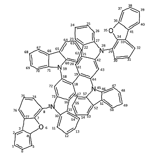 c1ccc2c(c1)oc1c(-n3c4ccccc4c4cc(-c5cc6c7ccccc7n(-c7cccc8c7oc7ccccc78)c6cc5-n5c6ccccc6c6ccccc65)c(-n5c6ccccc6c6ccccc65)cc43)cccc12